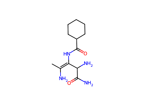 C/C(N)=C(\NC(=O)C1CCCCC1)C(N)C(N)=O